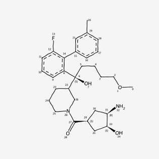 COCCCC[C@@](O)(c1cccc(F)c1-c1cccc(C)c1)C1CCCN(C(=O)[C@H]2C[C@@H](N)[C@@H](O)C2)C1